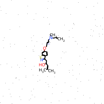 C=CCN(C)C/C=C/COc1ccc2c(C[C@H](O)C=C(C)C)nsc2c1